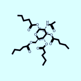 CCCCC(=O)OC[C@H]1O[C@H](OC(=O)CCCC)[C@H](NC(C)=O)[C@@H](OC(=O)CCCC)[C@@H]1OC(=O)CCCC